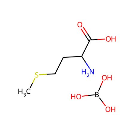 CSCCC(N)C(=O)O.OB(O)O